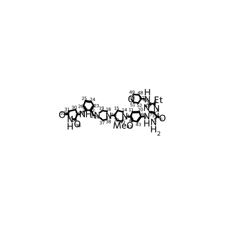 CCc1nc(C(N)=O)c(Nc2ccc(N3CCC(N4CCN(Cc5ccccc5NC5CCC(=O)NC5=O)CC4)CC3)c(OC)c2)nc1NC1CCOCC1